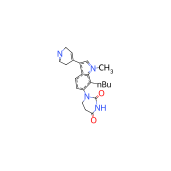 CCCCc1c(N2CCC(=O)NC2=O)ccc2c(C3=CCN=CC3)cn(C)c12